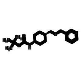 CC(C)(C)OC(=O)N[C@H]1CC[C@H](COCc2cccnc2)CC1